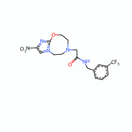 O=C(CN1CCOc2nc([N+](=O)[O-])cn2CC1)NCc1cccc(C(F)(F)F)c1